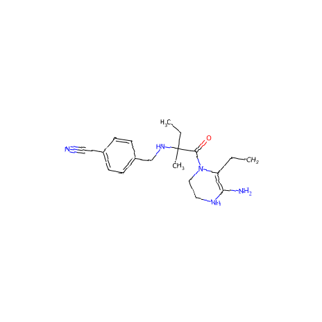 CCC1=C(N)NCCN1C(=O)C(C)(CC)NCc1ccc(C#N)cc1